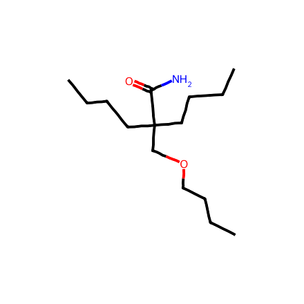 CCCCOCC(CCCC)(CCCC)C(N)=O